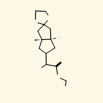 CCOC(=O)C(C)C1C[C@@H]2CC3(C[C@@H]2C1)OCCO3